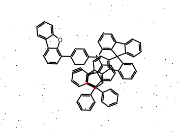 c1ccc2c(c#1)-c1c(N(C3=CC=C(c4cccc5c4oc4ccccc45)CC3)c3cccc4c3C3(c5ccccc5-4)c4ccccc4-c4c3ccc3ccccc43)cccc1C2(c1ccccc1)c1ccccc1